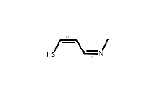 C/N=C\C=C/S